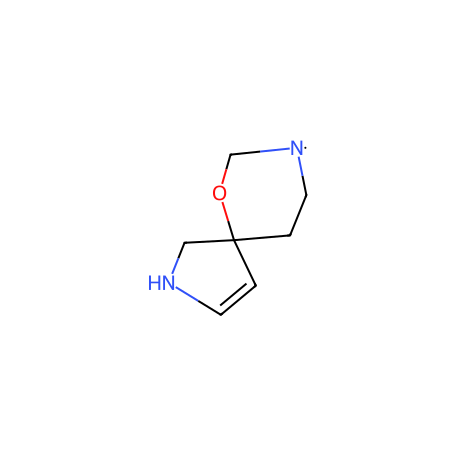 C1=CC2(CC[N]CO2)CN1